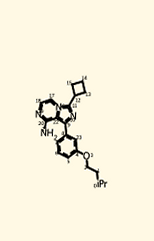 CC(C)CCOc1cccc(-c2nc(C3CCC3)n3ccnc(N)c23)c1